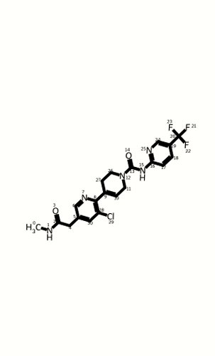 CNC(=O)Cc1cnc(C2=CCN(C(=O)Nc3ccc(C(F)(F)F)cn3)CC2)c(Cl)c1